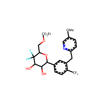 CCOC(=O)OCC1OC(c2ccc(C(F)(F)F)c(Cc3ccc(OC)cn3)c2)C(O)C(O)C1(F)F